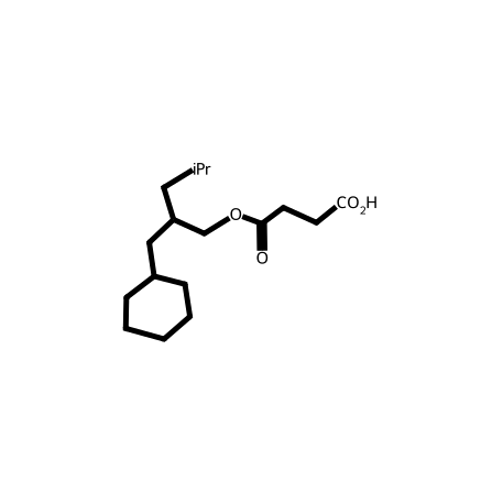 CC(C)CC(COC(=O)CCC(=O)O)CC1CCCCC1